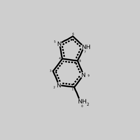 Nc1n[c]c2nc[nH]c2n1